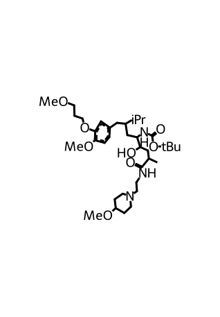 COCCCOc1cc(CC(CC(NC(=O)OC(C)(C)C)C(O)CC(C)C(=O)NCCN2CCC(OC)CC2)C(C)C)ccc1OC